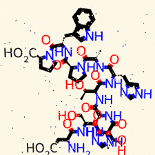 C[C@H](NC(=O)[C@H](Cc1c[nH]cn1)NC(=O)[C@@H](NC(=O)[C@H](Cc1c[nH]cn1)NC(=O)[C@@H](NC(=O)[C@H](CO)NC(=O)[C@@H](N)CC(=O)O)[C@@H](C)O)[C@@H](C)O)C(=O)N1CCC[C@H]1C(=O)N[C@@H](Cc1c[nH]c2ccccc12)C(=O)N1CCC[C@H]1C(=O)O